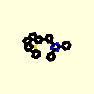 c1ccc(-c2nc(-c3ccccc3)nc(-c3cccc(-c4ccc5c(ccc6ccc7ccc8c9ccccc9sc8c7c65)c4)c3)n2)cc1